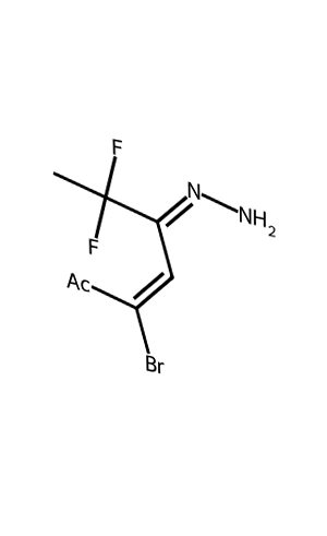 CC(=O)/C(Br)=C\C(=N/N)C(C)(F)F